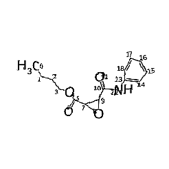 CCCCOC(=O)C1OC1C(=O)Nc1ccccc1